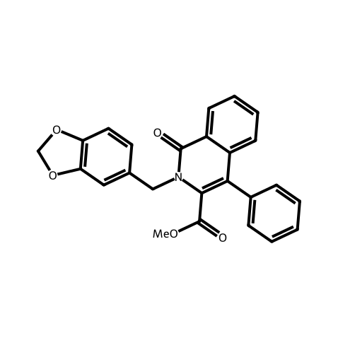 COC(=O)c1c(-c2ccccc2)c2ccccc2c(=O)n1Cc1ccc2c(c1)OCO2